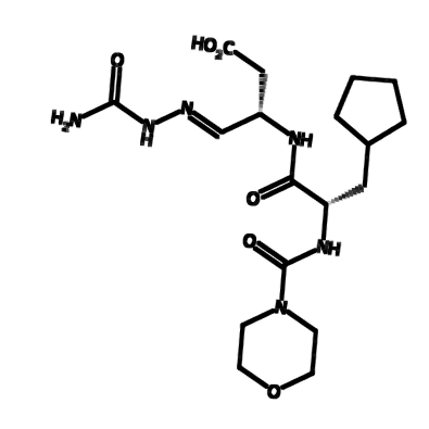 NC(=O)N/N=C/[C@H](CC(=O)O)NC(=O)[C@H](CC1CCCC1)NC(=O)N1CCOCC1